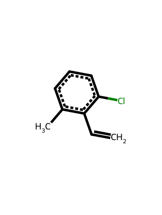 C=Cc1c(C)cccc1Cl